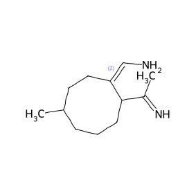 CC(=N)C1CCCC(C)CC/C1=C/N